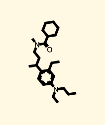 CCCN(CC)c1ccc(C(C)CCN(C)C(=O)C2CCCCC2)c(CC)c1